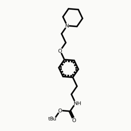 CC(C)(C)OC(=O)NCCc1ccc(OCCN2CCCCC2)cc1